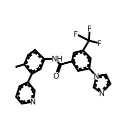 Cc1ccc(NC(=O)c2cc(-n3ccnc3)cc(C(F)(F)F)c2)cc1-c1cccnc1